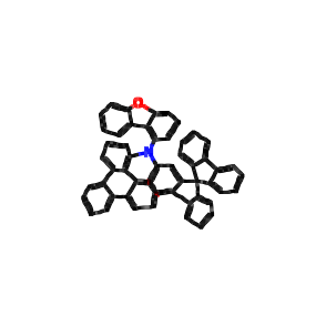 c1ccc2c(c1)-c1ccccc1C21c2ccccc2-c2ccc(N(c3cccc4oc5ccccc5c34)c3cccc4c5ccccc5c5ccccc5c34)cc21